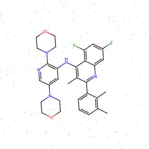 Cc1cccc(-c2nc3cc(F)cc(F)c3c(Nc3cc(N4CCOCC4)cnc3N3CCOCC3)c2C)c1C